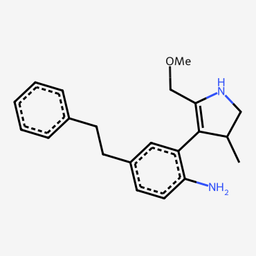 COCC1=C(c2cc(CCc3ccccc3)ccc2N)C(C)CN1